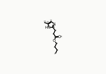 CCCCOC(=O)CCc1ncc(C)[nH]1